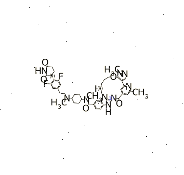 Cc1cc2cc(n1)-c1cnn(C)c1OCCC[C@@H](I)CN1/C(=N/C2=O)Nc2ccc(C(=O)N(C)C3CCC(N(C)CCc4cc(F)c([C@H]5CCC(=O)NC5=O)c(F)c4)CC3)cc21